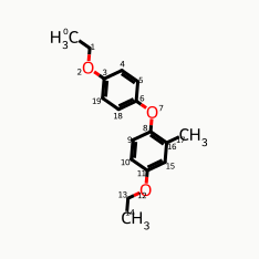 CCOc1ccc(Oc2ccc(OCC)cc2C)cc1